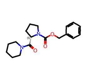 O=C([C@@H]1CCCN1C(=O)OCc1ccccc1)N1CCCCC1